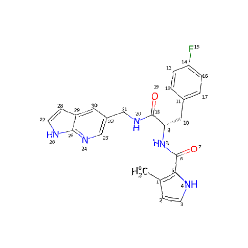 Cc1cc[nH]c1C(=O)N[C@@H](Cc1ccc(F)cc1)C(=O)NCc1cnc2[nH]ccc2c1